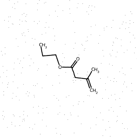 C=C(C)[CH]C(=O)OCCC